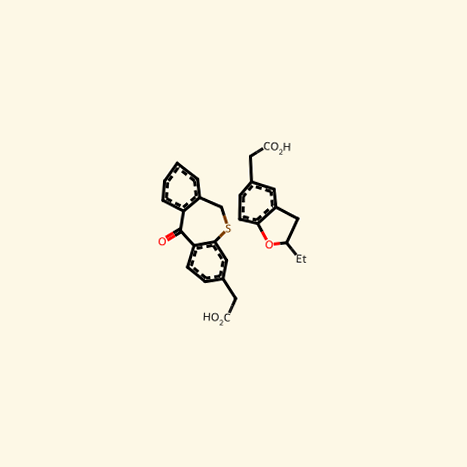 CCC1Cc2cc(CC(=O)O)ccc2O1.O=C(O)Cc1ccc2c(c1)SCc1ccccc1C2=O